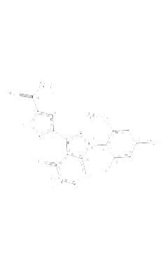 COc1cc([N+](=O)[O-])cc(F)c1-n1cc(-c2csc(C(N)=O)c2)c2c(=O)[nH]ccc21